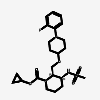 CS(=O)(=O)N[C@H]1CCCN(C(=O)OC2CC2)[C@H]1COC1CCN(c2ccccc2F)CC1